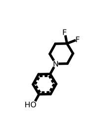 Oc1ccc(N2CCC(F)(F)CC2)cc1